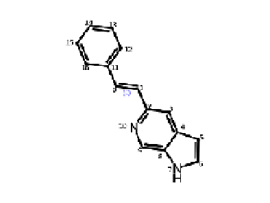 C(=C\c1cc2cc[nH]c2cn1)/c1ccccc1